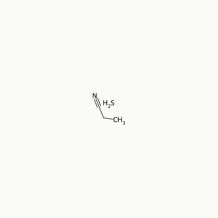 CCC#N.S